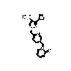 O=C(O)c1cn(CC2=CCC(Cn3ccccc3=O)C=N2)nc1C1COC1